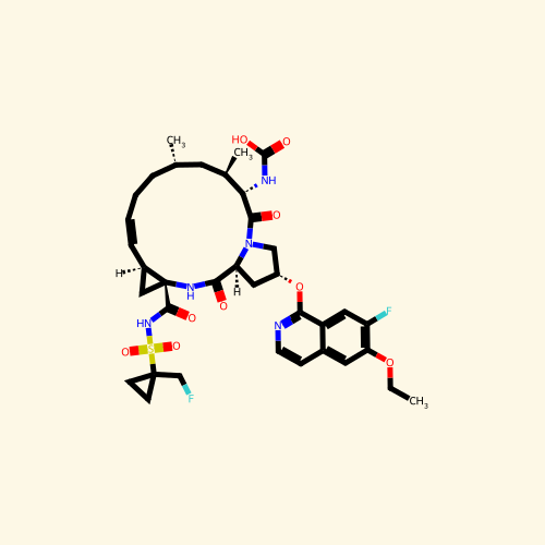 CCOc1cc2ccnc(O[C@@H]3C[C@H]4C(=O)N[C@]5(C(=O)NS(=O)(=O)C6(CF)CC6)C[C@H]5/C=C\CC[C@H](C)C[C@@H](C)[C@H](NC(=O)O)C(=O)N4C3)c2cc1F